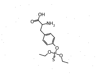 CCOP(=S)(OCC)Oc1ccc(CC(N)C(=O)O)cc1